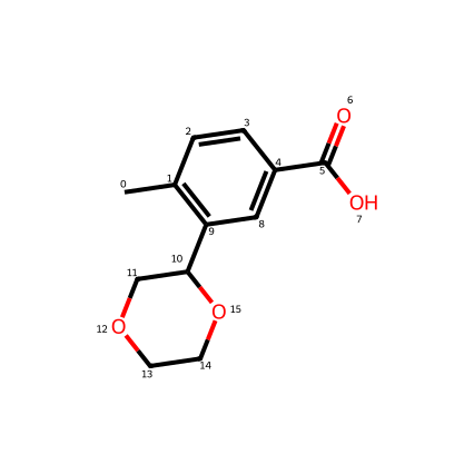 Cc1ccc(C(=O)O)cc1C1COCCO1